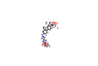 CCCS(=O)(=O)N1CC2(CN(Cc3ccc(-c4ccc(C(O)(C(F)(F)F)C(F)(F)F)cc4)c(CC)c3)C2)C1